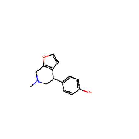 CN1Cc2occc2C(c2ccc(O)cc2)C1